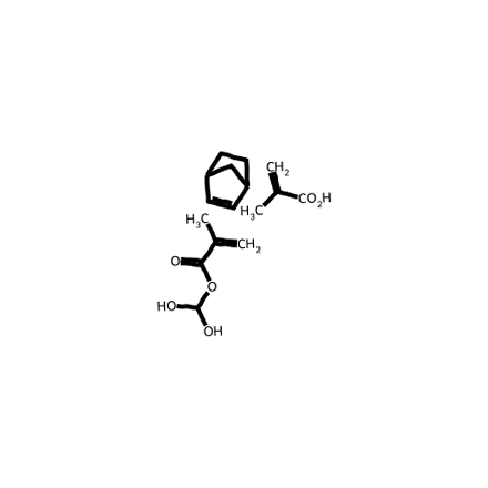 C1=CC2CCC1C2.C=C(C)C(=O)O.C=C(C)C(=O)OC(O)O